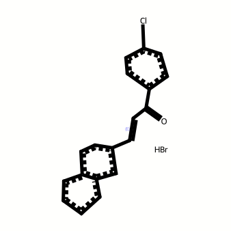 Br.O=C(/C=C/c1ccc2ccccc2c1)c1ccc(Cl)cc1